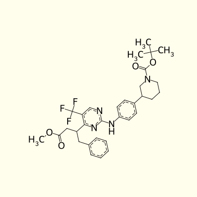 COC(=O)CC(Cc1ccccc1)c1nc(Nc2ccc(C3CCCN(C(=O)OC(C)(C)C)C3)cc2)ncc1C(F)(F)F